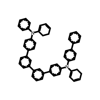 C1=CCCC(N(c2ccccc2)c2ccc(-c3cccc(-c4cccc(-c5ccc(N(C6=CC=CCC6)c6ccc(-c7ccccc7)cc6)cc5)c4)c3)cc2)=C1